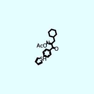 CC(=O)ON=C(CC1CCCCC1)C(=O)c1ccc([SH]2C=CC=C2)cc1